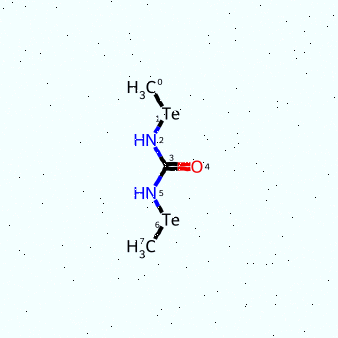 C[Te]NC(=O)N[Te]C